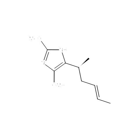 C/C=C/C[C@H](C)c1[nH]c(OC)nc1OC